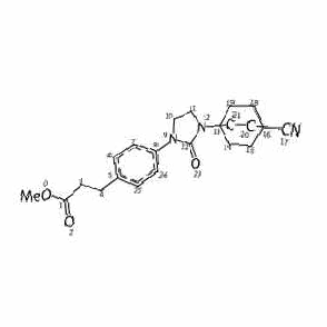 COC(=O)CCc1ccc(N2CCN(C34CCC(C#N)(CC3)CC4)C2=O)cc1